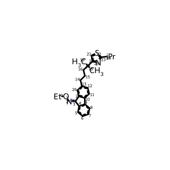 CCO/N=C1/c2ccccc2-c2ccc(CCCC(C)(C)c3csc(C(C)C)n3)cc21